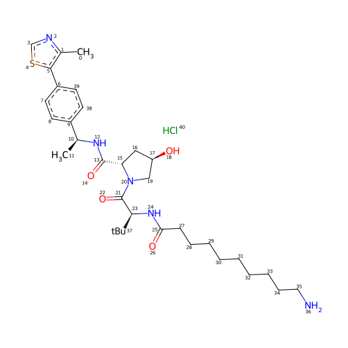 Cc1ncsc1-c1ccc([C@H](C)NC(=O)[C@@H]2C[C@@H](O)CN2C(=O)[C@@H](NC(=O)CCCCCCCCCN)C(C)(C)C)cc1.Cl